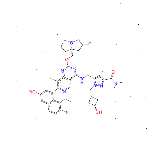 CCc1c(F)ccc2cc(O)cc(-c3ncc4c(NCc5cc(C(=O)N(C)C)nn5C[C@H]5C[C@H](O)C5)nc(OC[C@@]56CCCN5C[C@H](F)C6)nc4c3F)c12